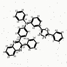 c1ccc(-c2nnc(-c3cccc(N(c4ccccc4)c4ccc(-c5nc6ccccc6nc5-c5ccccc5)cc4)c3)o2)cc1